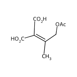 CC(=O)OCC(C)=C(C(=O)O)C(=O)O